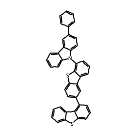 c1ccc(-c2ccc3c(c2)c2ccccc2n3-c2cccc3c2sc2ccc(-c4cccc5sc6ccccc6c45)cc23)cc1